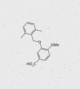 COc1ccc(C(=O)O)cc1OCc1c(C)cccc1C